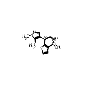 Cc1c([C@H]2CN[C@@H](C)c3ccsc32)cnn1C